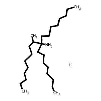 CCCCCCCCC(C)C(N)(CCCCCCCC)CCCCCCCC.I